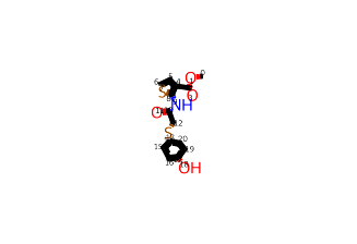 COC(=O)c1ccsc1NC(=O)CSc1ccc(O)cc1